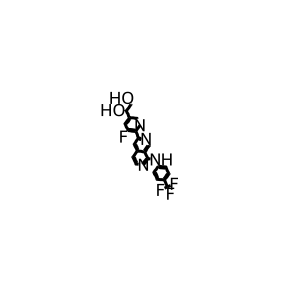 OC[C@@H](O)c1cnc(-c2cc3ccnc(Nc4ccc(C(F)(F)F)cc4)c3cn2)c(F)c1